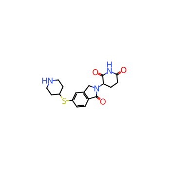 O=C1CCC(N2Cc3cc(SC4CCNCC4)ccc3C2=O)C(=O)N1